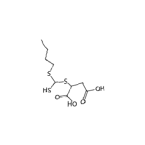 CCCCSC(S)SC(CC(=O)O)C(=O)O